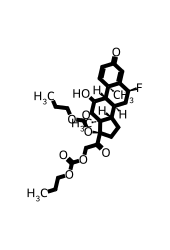 CCCOC(=O)OCC(=O)[C@@]1(OC(=O)OCCC)CC[C@H]2[C@@H]3C[C@H](F)C4=CC(=O)C=C[C@]4(C)[C@H]3C(O)C[C@@]21C